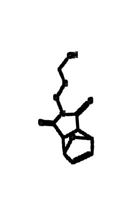 O=C1C2C3C=CC(O3)C2C(=O)N1OOCO